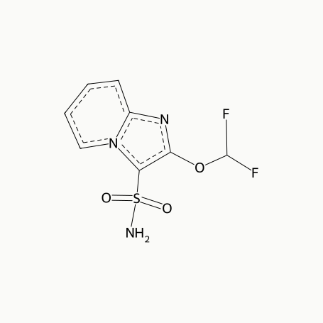 NS(=O)(=O)c1c(OC(F)F)nc2ccccn12